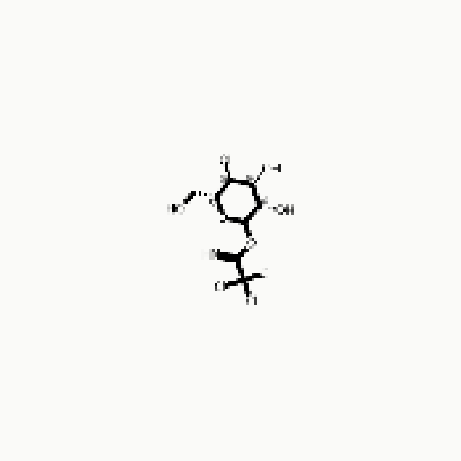 N=C(OC1O[C@H](CO)[C@@H](O)[C@H](O)[C@@H]1O)C(Cl)(Cl)Cl